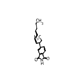 CCC/C=C/C=C\C(CC)c1ccc2c(c1)C(=O)NC2=O